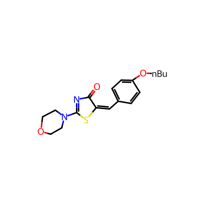 CCCCOc1ccc(C=C2SC(N3CCOCC3)=NC2=O)cc1